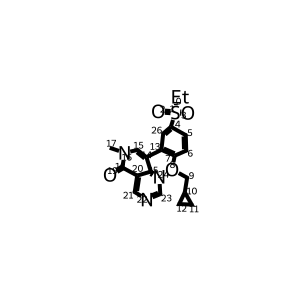 CCS(=O)(=O)c1ccc(OCC2CC2)c(-c2cn(C)c(=O)c3cncnc23)c1